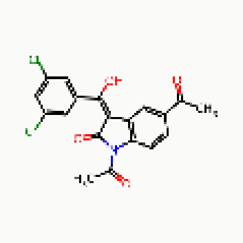 CC(=O)c1ccc2c(c1)C(=C(O)c1cc(Cl)cc(Cl)c1)C(=O)N2C(C)=O